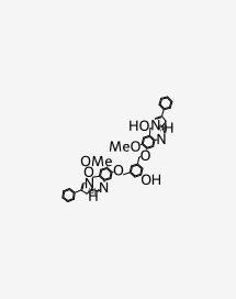 COc1cc2c(cc1OCc1cc(O)cc(COc3cc4c(cc3OC)C(O)N3C=C(c5ccccc5)C[C@H]3C=N4)c1)N=C[C@@H]1CC(c3ccccc3)=CN1C2=O